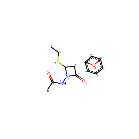 CCS[C@H]1CC(=O)N1NC(C)=O.c1cc2cc(c1)O2